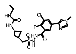 CCNC(=O)N[C@H]1C[C@@H](CS(=O)(=O)NNC(=O)c2cc(-c3cn(C)cn3)cc(Cl)c2F)C1